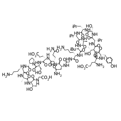 CC[C@H](C)[C@H](NC(=O)[C@H](C)NC(=O)[C@@H](NC(=O)[C@H](CC(C)C)NC(=O)[C@H](CO)NC(=O)[C@@H](NC(=O)[C@@H](NC(=O)[C@H](Cc1ccc(O)cc1)NC(=O)[C@@H](N)CCC(=O)O)[C@@H](C)O)C(C)C)C(C)C)C(=O)N[C@@H](CCCCN)C(=O)NCC(=O)N[C@@H](CC(N)=O)C(=O)N[C@@H](CCC(N)=O)C(=O)N[C@@H](CCC(=O)O)C(=O)N[C@@H](CO)C(=O)N1CCC[C@H]1C(=O)N[C@@H](CCCCN)C(=O)N[C@@H](C)C(=O)N[C@H](C(=O)NCC(=O)O)[C@@H](C)O